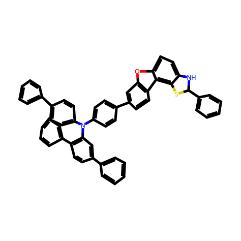 c1ccc(-c2ccc(N(c3ccc(-c4ccc5c(c4)oc4ccc6c(c45)SC(c4ccccc4)N6)cc3)c3cc(-c4ccccc4)ccc3-c3ccccc3)cc2)cc1